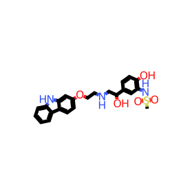 CS(=O)(=O)Nc1cc(C(O)CNCCOc2ccc3c(c2)[nH]c2ccccc23)ccc1O